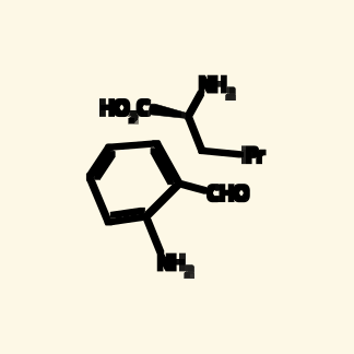 CC(C)C[C@H](N)C(=O)O.Nc1ccccc1C=O